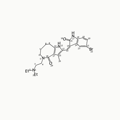 CCN(CC)CCN1CCCCc2[nH]c(C=C3C(=O)Nc4ccc(Br)cc43)c(C)c2C1=O